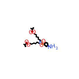 C=C(C)C(=O)OCCCCCCN(CCCCCCOC(=O)C(=C)C)S(=O)(=O)c1ccc(N)cc1